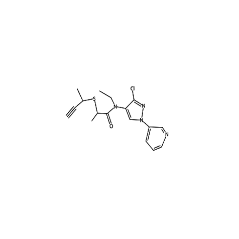 C#CC(C)SC(C)C(=O)N(CC)c1cn(-c2cccnc2)nc1Cl